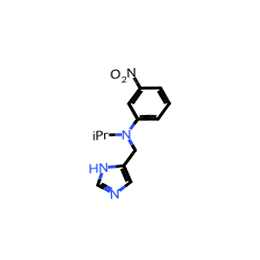 CC(C)N(Cc1cnc[nH]1)c1cccc([N+](=O)[O-])c1